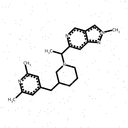 Cc1cc(CC2CCCN(C(C)c3cc4nn(C)cc4cn3)C2)cc(C)n1